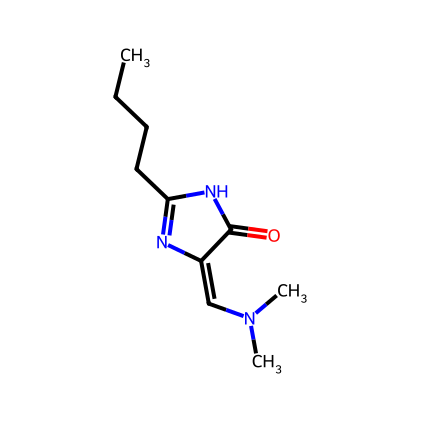 CCCCC1=N/C(=C/N(C)C)C(=O)N1